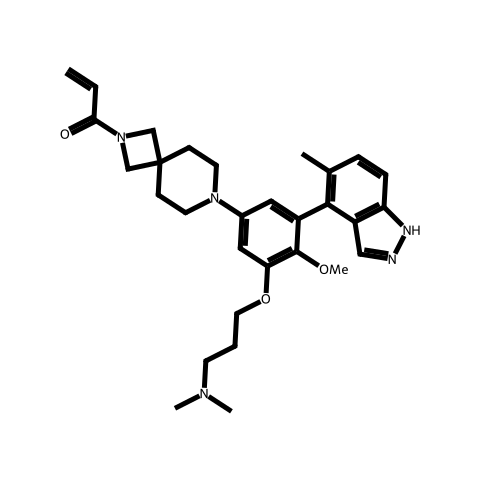 C=CC(=O)N1CC2(CCN(c3cc(OCCCN(C)C)c(OC)c(-c4c(C)ccc5[nH]ncc45)c3)CC2)C1